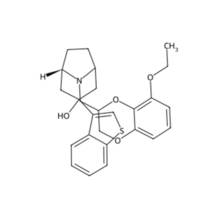 CCOc1cccc2c1OC(CN1C3CC[C@H]1CC(O)(c1csc4ccccc14)C3)CO2